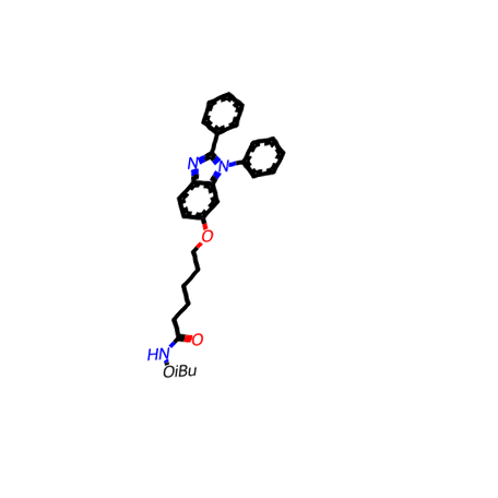 CC(C)CONC(=O)CCCCCOc1ccc2nc(-c3ccccc3)n(-c3ccccc3)c2c1